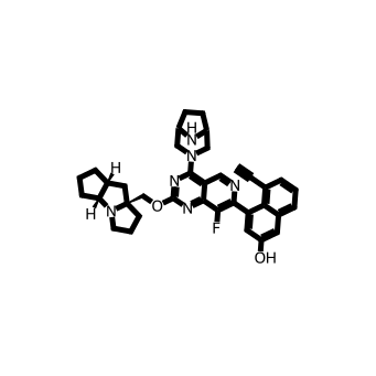 C#Cc1cccc2cc(O)cc(-c3ncc4c(N5CC6CCC(C5)N6)nc(OC[C@@]56CCCN5[C@@H]5CCC[C@@H]5C6)nc4c3F)c12